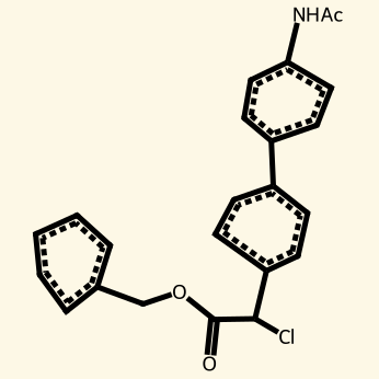 CC(=O)Nc1ccc(-c2ccc(C(Cl)C(=O)OCc3ccccc3)cc2)cc1